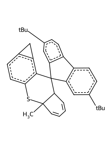 CC(C)(C)c1ccc2c(c1)C1(c3cc(C(C)(C)C)ccc3-2)c2c(ccc3c2C3)SC2(C)C=CC=CC21